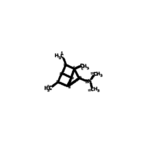 CC1C2C(C)C3(C)C2C1C3N(C)C